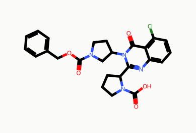 O=C(OCc1ccccc1)N1CCC(n2c(C3CCCN3C(=O)O)nc3cccc(Cl)c3c2=O)C1